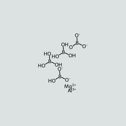 OB(O)O.OB(O)O.[Al+3].[Mg+2].[O-]B([O-])O.[O-]B([O-])[O-]